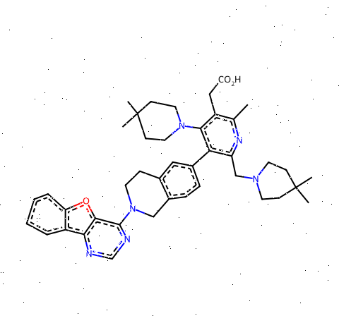 Cc1nc(CN2CCC(C)(C)CC2)c(-c2ccc3c(c2)CCN(c2ncnc4c2oc2ccccc24)C3)c(N2CCC(C)(C)CC2)c1CC(=O)O